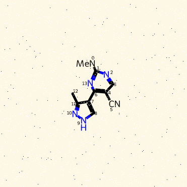 CNc1ncc(C#N)c(-c2c[nH]nc2C)n1